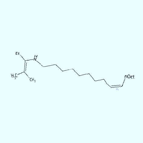 CCCCCCCC/C=C\CCCCCCCCNC(CC)=C(C)C